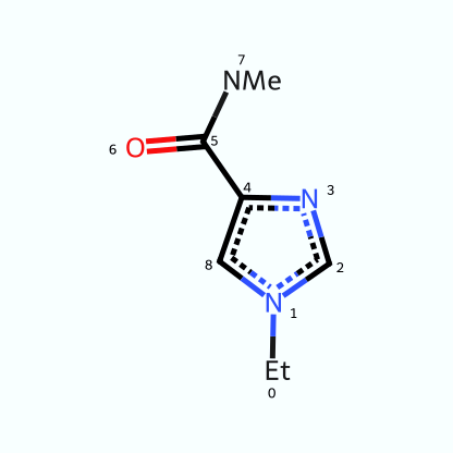 CCn1cnc(C(=O)NC)c1